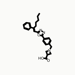 CCCCC/C(=C\c1nnc(-c2ccc(CN3CC(C(=O)O)C3)cc2)o1)c1ccccc1